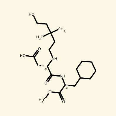 COC(=O)[C@H](CC1CCCCC1)NC(=O)[C@H](CC(=O)O)NCCC(C)(C)CCO